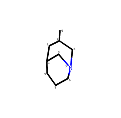 CC1CC2CCCN(C1)C2